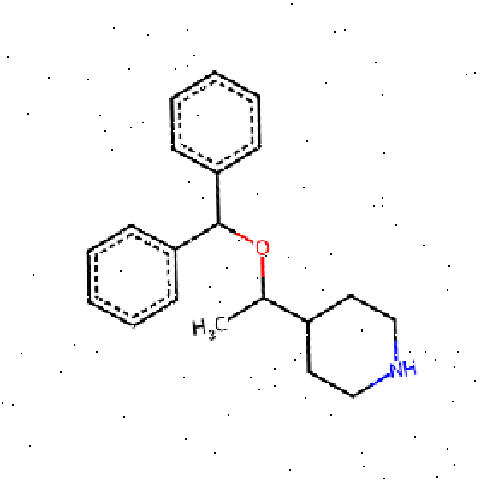 CC(OC(c1ccccc1)c1ccccc1)C1CCNCC1